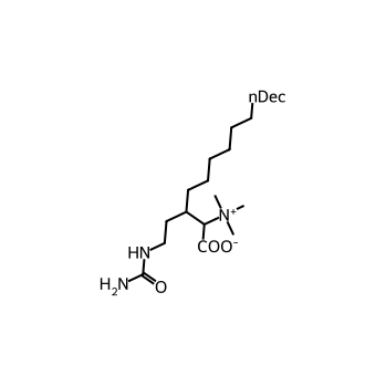 CCCCCCCCCCCCCCCCC(CCNC(N)=O)C(C(=O)[O-])[N+](C)(C)C